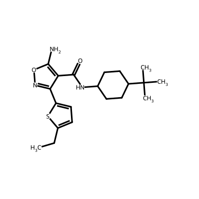 CCc1ccc(-c2noc(N)c2C(=O)NC2CCC(C(C)(C)C)CC2)s1